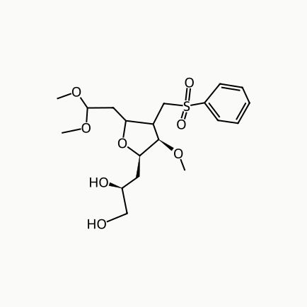 COC(CC1O[C@H](C[C@H](O)CO)[C@H](OC)C1CS(=O)(=O)c1ccccc1)OC